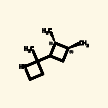 C[C@H]1CC(C2(C)CCN2)[C@@H]1C